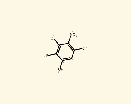 O=[N+]([O-])c1c(Cl)cc(O)c(F)c1Cl